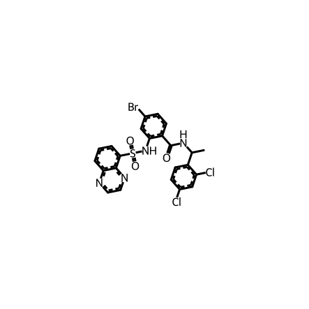 CC(NC(=O)c1ccc(Br)cc1NS(=O)(=O)c1cccc2nccnc12)c1ccc(Cl)cc1Cl